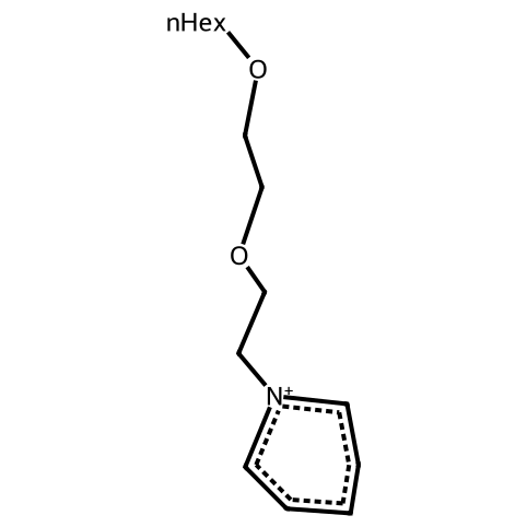 CCCCCCOCCOCC[n+]1ccccc1